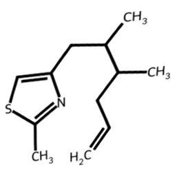 C=CCC(C)C(C)Cc1csc(C)n1